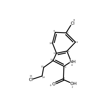 O=C(O)c1[nH]c2cc(Cl)ccc2c1CCCl